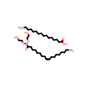 CCCCCCCC/C=C\CCCCCCCC(=O)N(OCCO)OCCO.CCCCCCCCCCCCCCCC(=O)O